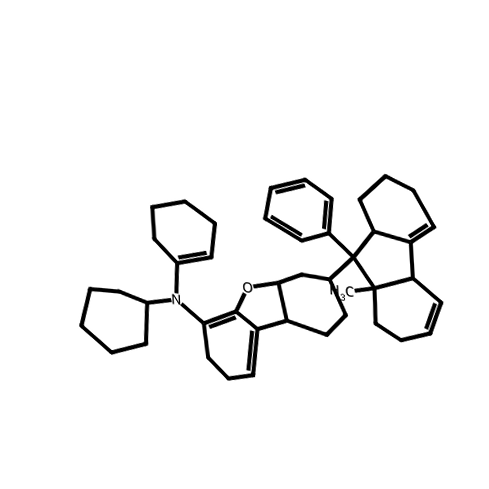 CC12CCC=CC1C1=CCCCC1C2(c1ccccc1)C1CCC2C3=CCCC(N(C4=CCCCC4)C4CCCCC4)=C3OC2C1